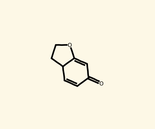 O=C1C=CC2CCOC2=C1